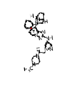 CN1CCN(C(=O)Cn2cc(Nc3nc4c(N5C[C@H]6CC[C@@H](C5)N6Cc5ccccc5F)cccn4n3)cn2)CC1